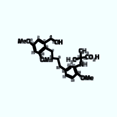 COc1cc(CO)c(CCCCc2ccc(OC)c(NC(C)(C)C(=O)O)c2)c(OC)c1